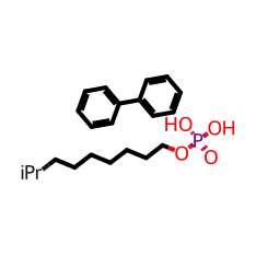 CC(C)CCCCCCCOP(=O)(O)O.c1ccc(-c2ccccc2)cc1